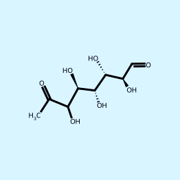 CC(=O)C(O)[C@@H](O)[C@@H](O)[C@H](O)[C@H](O)C=O